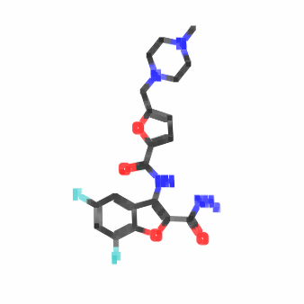 CN1CCN(Cc2ccc(C(=O)Nc3c(C(N)=O)oc4c(F)cc(F)cc34)o2)CC1